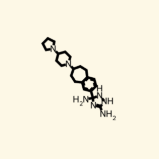 NC1=NC(N)(c2ccc3c(c2)CCC(N2CCC(N4CCCC4)CC2)CC3)NN1